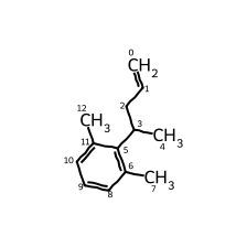 C=CCC(C)c1c(C)cccc1C